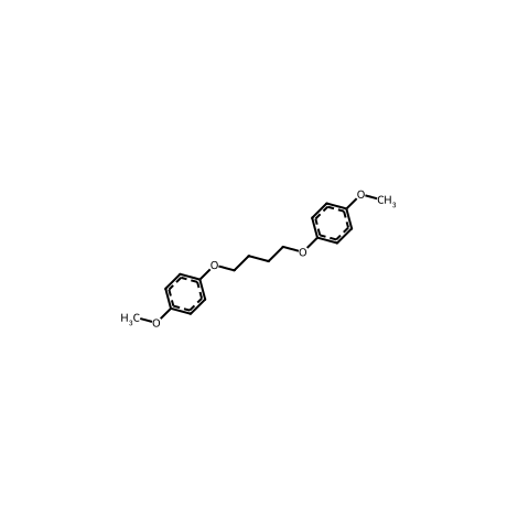 COc1ccc(OCCCCOc2ccc(OC)cc2)cc1